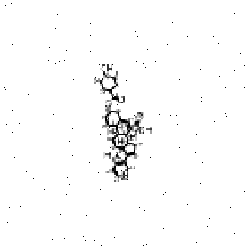 CN1CCC(C(=O)O[C@H]2CC[C@@]3(C)C(=CC[C@@H]4[C@@H]3CC[C@]3(C)C(c5cccnc5)=CC[C@@H]43)C2)CC1.O=CO